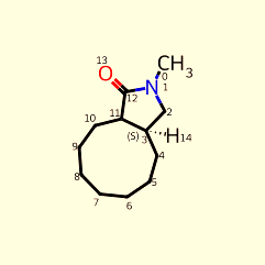 CN1C[C@H]2CCCCCCCC2C1=O